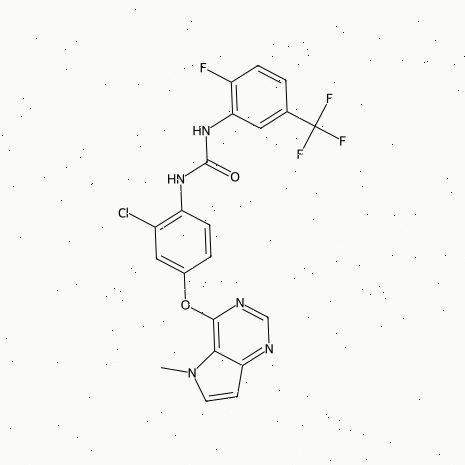 Cn1ccc2ncnc(Oc3ccc(NC(=O)Nc4cc(C(F)(F)F)ccc4F)c(Cl)c3)c21